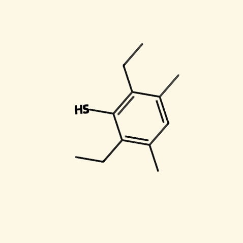 CCc1c(C)cc(C)c(CC)c1S